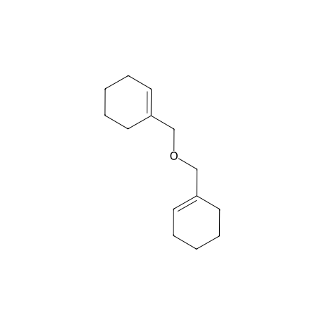 C1=C(COCC2=CCCCC2)CCCC1